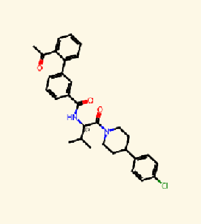 CC(=O)c1ccccc1-c1cccc(C(=O)N[C@@H](C(=O)N2CCC(c3ccc(Cl)cc3)CC2)C(C)C)c1